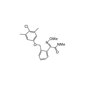 CNC(=O)C(=NOC)c1ccccc1COc1cc(C)c(Cl)c(C)c1